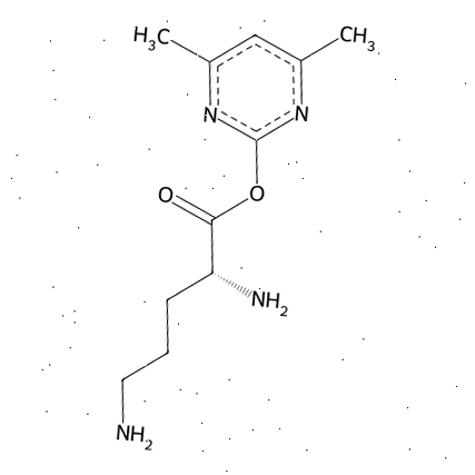 Cc1cc(C)nc(OC(=O)[C@H](N)CCCN)n1